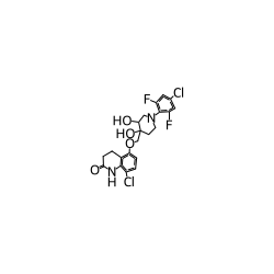 O=C1CCc2c(OCC3(O)CCN(c4c(F)cc(Cl)cc4F)CC3O)ccc(Cl)c2N1